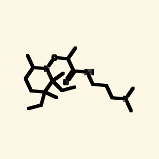 CCC1(C)CCC(C)N(OC(C)C(=O)NCCCN(C)C)C1(C)CC